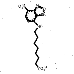 O=C(O)CCCCCCCNc1ccc([N+](=O)[O-])c2nonc12